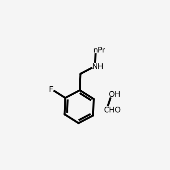 CCCNCc1ccccc1F.O=CO